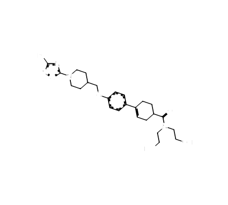 CC(C)c1noc(N2CCC(COc3ccc(C4=CCC(C(=O)N(CCO)CCO)CC4)cc3)CC2)n1